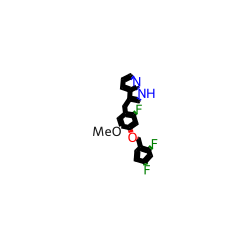 COc1cc(Cc2c[nH]c3ncccc23)c(F)cc1OCc1ccc(F)cc1F